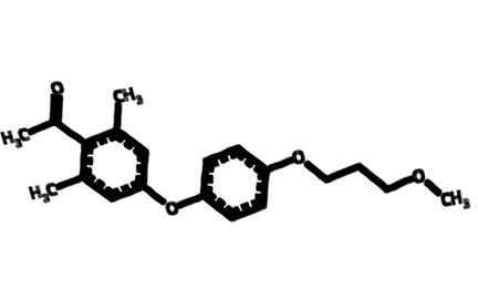 COCCCOc1ccc(Oc2cc(C)c(C(C)=O)c(C)c2)cc1